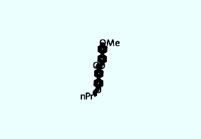 CCC/C=C/Oc1ccc(-c2ccc(C(=O)Oc3ccc(-c4ccc(OC)cc4)cc3)cc2)cc1